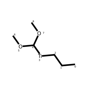 CC[CH2][Ti][CH](OC)OC